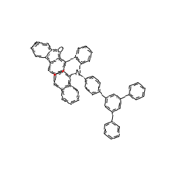 c1ccc(-c2cc(-c3ccccc3)cc(-c3ccc(N(c4ccccc4-c4cccc5c4oc4ccccc45)c4cccc5ccccc45)cc3)c2)cc1